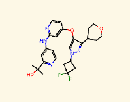 CC(C)(O)c1cc(Nc2cc(Oc3cn(C4CC(F)(F)C4)nc3C3CCOCC3)ccn2)ccn1